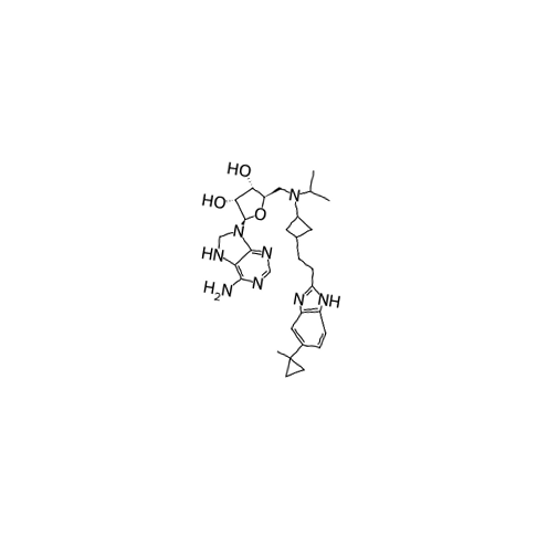 CC(C)N(C[C@H]1O[C@@H](N2CNc3c(N)ncnc32)[C@H](O)[C@@H]1O)C1CC(CCc2nc3cc(C4(C)CC4)ccc3[nH]2)C1